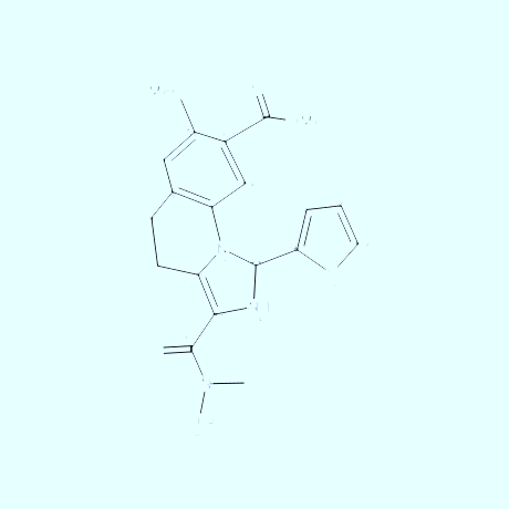 COC(=O)c1cc2c(cc1OC)CCC1=C(C(=O)N(C)C(C)(C)C)NC(c3cccs3)N12